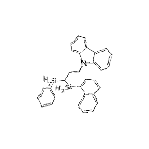 c1ccc([SiH2]C(CCn2c3ccccc3c3ccccc32)[SiH2]c2cccc3ccccc23)cc1